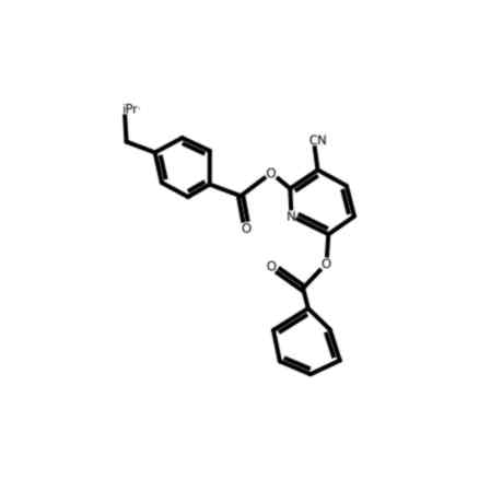 C[C](C)Cc1ccc(C(=O)Oc2nc(OC(=O)c3ccccc3)ccc2C#N)cc1